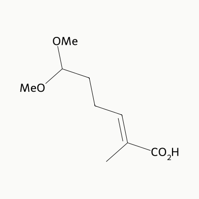 COC(CCC=C(C)C(=O)O)OC